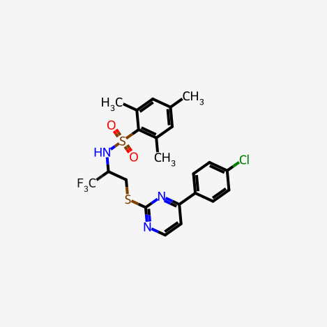 Cc1cc(C)c(S(=O)(=O)NC(CSc2nccc(-c3ccc(Cl)cc3)n2)C(F)(F)F)c(C)c1